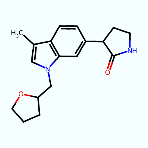 Cc1cn(CC2CCCO2)c2cc(C3CCNC3=O)ccc12